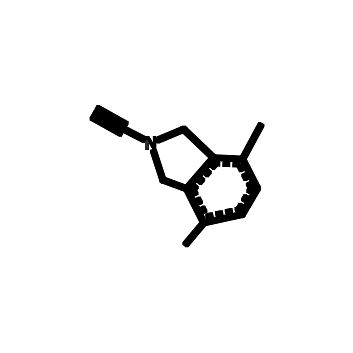 C#CN1Cc2c(C)ccc(C)c2C1